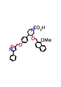 COc1c(COC2CN(C(=O)O)CCC2c2ccc(OCc3cc(-c4ccccc4)no3)cc2)ccc2ccccc12